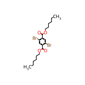 CCCCCCOC(=O)c1cc(Br)c(C(=O)OCCCCCC)cc1Br